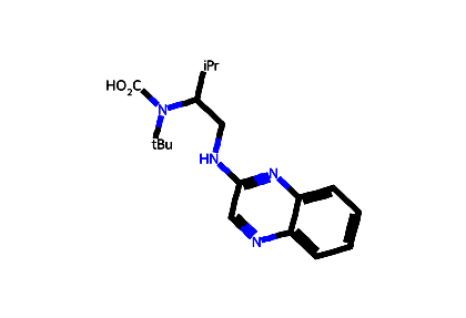 CC(C)C(CNc1cnc2ccccc2n1)N(C(=O)O)C(C)(C)C